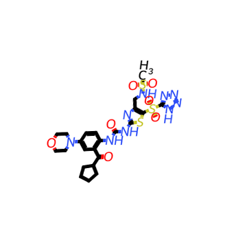 CS(=O)(=O)NCc1nc(NC(=O)Nc2ccc(N3CCOCC3)cc2C(=O)C2CCCC2)sc1S(=O)(=O)c1nnn[nH]1